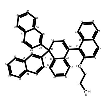 OCCOc1ccc2ccccc2c1C1=CCC(c2ccc3ccccc3c2)(c2ccc3ccccc3c2)c2ccccc21